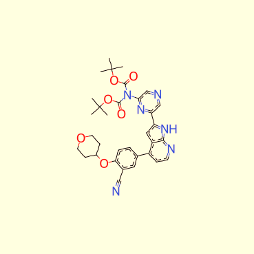 CC(C)(C)OC(=O)N(C(=O)OC(C)(C)C)c1cncc(-c2cc3c(-c4ccc(OC5CCOCC5)c(C#N)c4)ccnc3[nH]2)n1